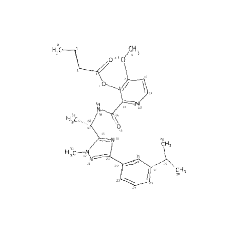 CCCC(=O)Oc1c(OC)ccnc1C(=O)N[C@@H](C)c1nc(-c2cccc(C(C)C)c2)nn1C